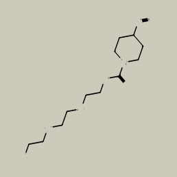 O=PC1CCN(C(=O)OCCOCCOCCO)CC1